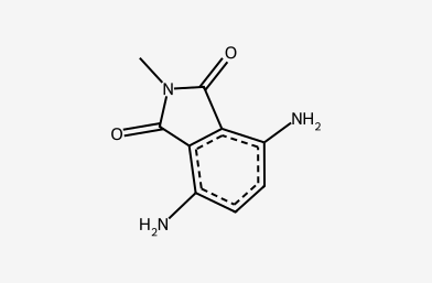 CN1C(=O)c2c(N)ccc(N)c2C1=O